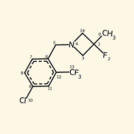 CC1(F)CN(Cc2ccc(Cl)cc2C(F)(F)F)C1